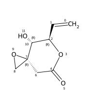 C=C[C@H]1OC(=O)C[C@@]2(CO2)[C@@H]1O